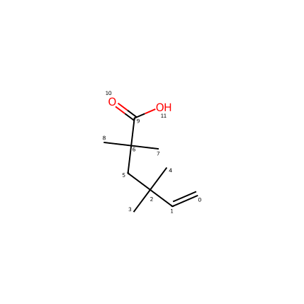 C=CC(C)(C)CC(C)(C)C(=O)O